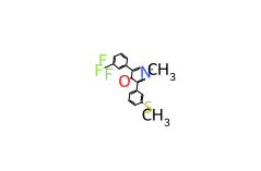 CSc1cccc(-c2cn(C)cc(-c3cccc(C(F)(F)F)c3)c2=O)c1